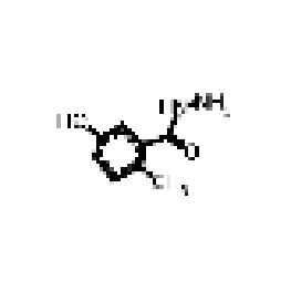 Cc1ccc(O)cc1C(=O)NN